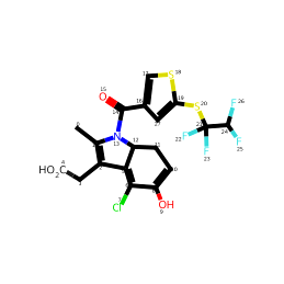 CC1=C(CC(=O)O)C2=C(Cl)C(O)=CCC2N1C(=O)c1csc(SC(F)(F)C(F)F)c1